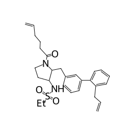 C=CCCCC(=O)N1CCC(NS(=O)(=O)CC)C1Cc1cccc(-c2ccccc2CC=C)c1